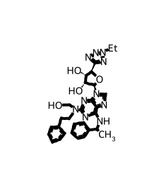 CCn1nnc([C@H]2O[C@@H](n3cnc4c(NC(C)c5ccccc5)nc(N(CO)CCc5ccccc5)nc43)[C@H](O)[C@@H]2O)n1